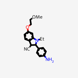 CCN1c2cc(OCCOC)ccc2C(C#N)C1c1ccc(N)cc1